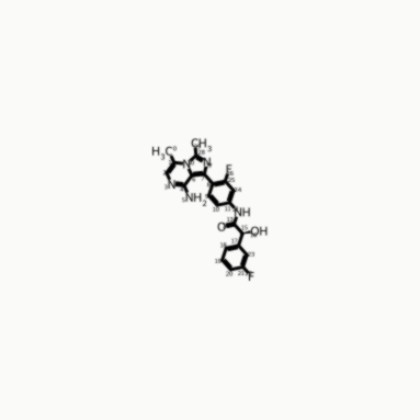 Cc1cnc(N)c2c(-c3ccc(NC(=O)[C@@H](O)c4cccc(F)c4)cc3F)nc(C)n12